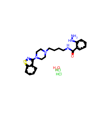 Cl.Cl.NNc1ccccc1C(=O)NCCCCN1CCN(c2nsc3ccccc23)CC1.O